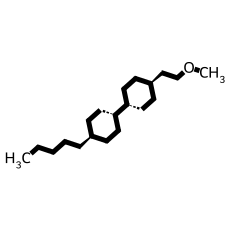 CCCCC[C@H]1CC[C@H]([C@H]2CC[C@H](CCOC)CC2)CC1